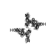 Cc1ccc(N2CCC[C@H](N(Cc3ccnc(C)c3)Cc3cn(C4CC4)c4cc(C5C[C@@H](O)CN5)ccc4c3=O)C2)cn1.Cc1ccc(N2CCC[C@H](N(Cc3ccnc(C)c3)Cc3cn(C4CC4)c4cc(C5C[C@@H](O)CN5C(=O)OC(C)(C)C)ccc4c3=O)C2)cn1